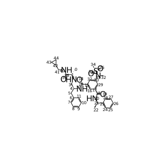 C[C@H](NC[C@H](Cc1ccccc1)NC(=O)c1cc(C(=O)N[C@H](C)c2ccccc2)cc(N(C)S(C)(=O)=O)c1)C(=O)NCC1CC1